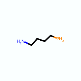 NCCCCP